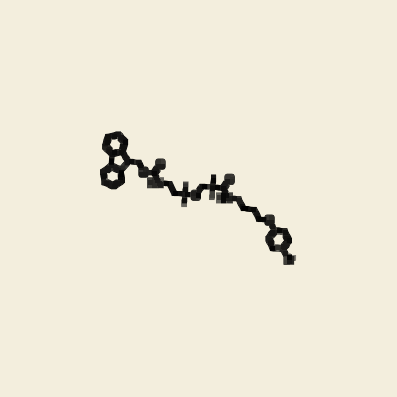 CC(C)(CCNC(=O)OCC1c2ccccc2-c2ccccc21)OCC(C)(C)C(=O)NCCCCOc1ccc(Br)cc1